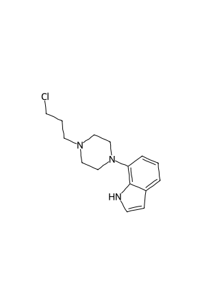 ClCCCN1CCN(c2cccc3cc[nH]c23)CC1